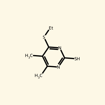 CCSc1nc(S)nc(C)c1C